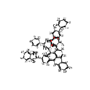 C=C(c1nc(-c2ccccc2)nc(-c2ccc3c(c2)sc2ccccc23)n1)c1c(-c2ccccc2C)ccc2c1C(c1ccc(-c3nc4ccccc4s3)cc1)Cc1ccccc1-2